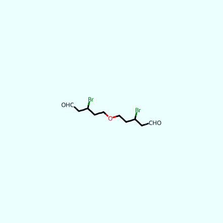 O=CCC(Br)CCOCCC(Br)CC=O